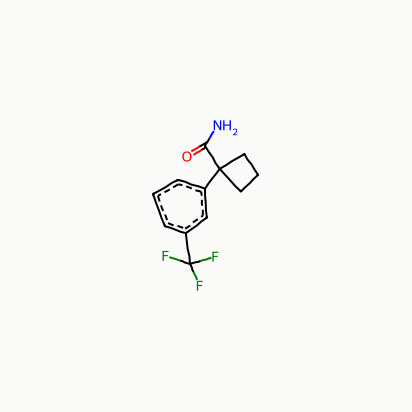 NC(=O)C1(c2cccc(C(F)(F)F)c2)CCC1